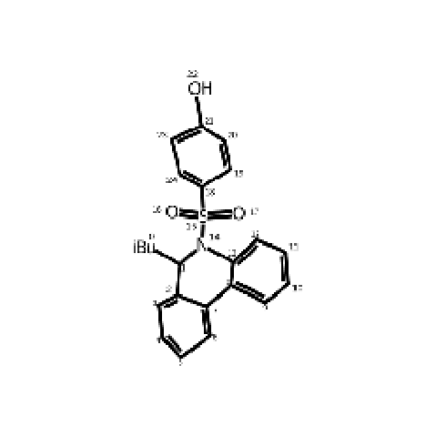 CCC(C)C1c2ccccc2-c2ccccc2N1S(=O)(=O)c1ccc(O)cc1